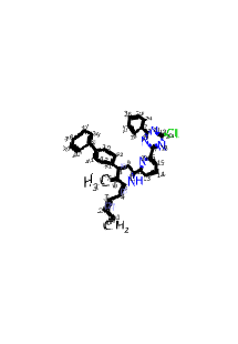 C=C/C=C\C=C/C(C)/C(=C\C(=N)c1cccc(-c2nc(Cl)nc(-c3ccccc3)n2)n1)c1ccc(-c2ccccc2)cc1